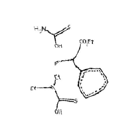 CCN(CC)C(O)=S.CCOC(=O)C(c1ccccc1)C(C)C.NC(O)=S